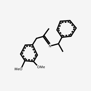 COc1ccc(CC(C)=NC(C)c2ccccc2)cc1OC